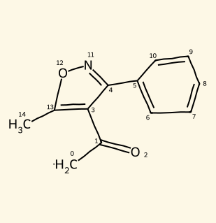 [CH2]C(=O)c1c(-c2ccccc2)noc1C